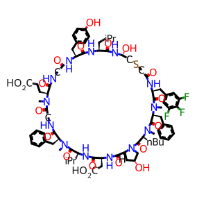 CCCC[C@H]1C(=O)N2C[C@H](O)C[C@@H]2C(=O)N[C@@H](CC(=O)O)C(=O)N[C@@H](C(C)C)C(=O)N(C)[C@@H](Cc2ccccc2)C(=O)NCC(=O)N(C)[C@@H](CCC(=O)O)C(=O)NCC(=O)N[C@@H](Cc2ccc(O)cc2)C(=O)N[C@@H](CC(C)C)C(=O)N[C@H](O)CSCC(=O)N[C@@H](Cc2cc(F)c(F)c(F)c2)C(=O)N(C)[C@@H](Cc2ccccc2)C(=O)N1C